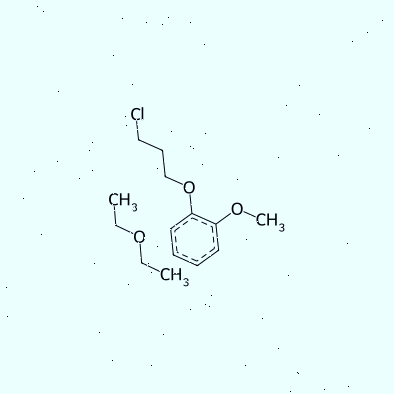 CCOCC.COc1ccccc1OCCCCl